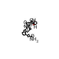 COc1cc(C(=O)N2C[C@H]3CC[C@@H]2[C@@H]3N)cc2nc(-c3cc4cccc(C5CC(C(N)=O)C5)c4n3CC3CC3)n(C)c12